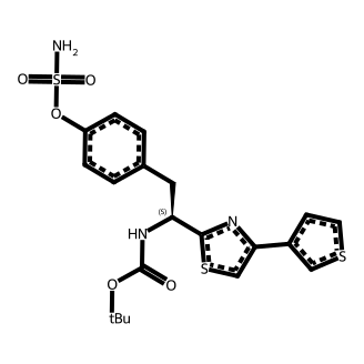 CC(C)(C)OC(=O)N[C@@H](Cc1ccc(OS(N)(=O)=O)cc1)c1nc(-c2ccsc2)cs1